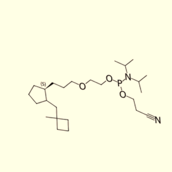 CC(C)N(C(C)C)P(OCCC#N)OCCOCCC[C@@H]1CCCC1CC1(C)CCC1